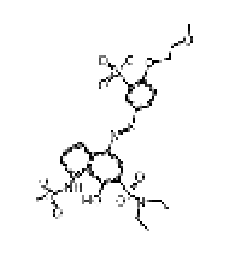 CCN(CC)S(=O)(=O)c1cc(N=Nc2ccc(OCCOC)c(S(=O)(=O)Cl)c2)c2cccc(NS(C)(=O)=O)c2c1O